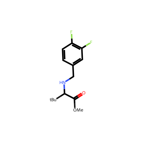 COC(=O)C(NCc1ccc(F)c(F)c1)C(C)(C)C